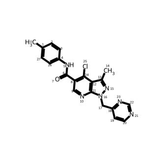 Cc1ccc(NC(=O)c2cnc3c(c(C)nn3Cc3ccncn3)c2Cl)cc1